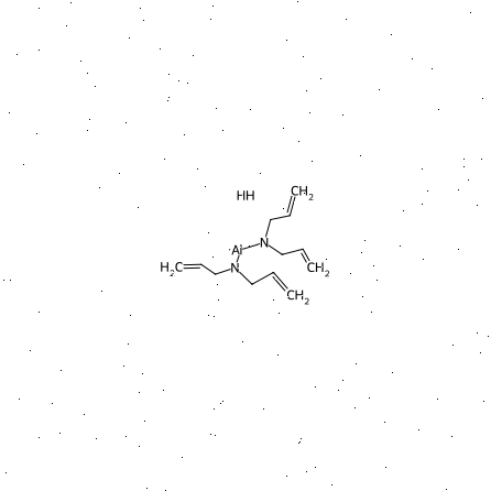 C=CC[N](CC=C)[Al][N](CC=C)CC=C.[HH]